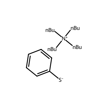 CCCC[N+](CCCC)(CCCC)CCCC.[S-]c1ccccc1